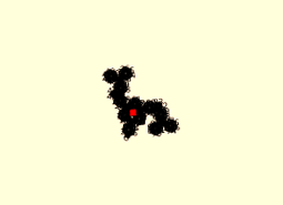 Cc1ccc(N2c3cccc4c3P3(=O)c5c2cccc5N(c2ccc5c(c2)-c2ccc(N(c6ccccc6)c6ccccc6)cc2C5(C)C)c2cccc(c23)N4c2ccc3c(c2)-c2cc(N(c4ccccc4)c4ccccc4)ccc2C3(C)C)cc1